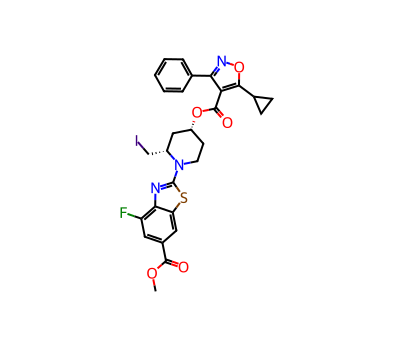 COC(=O)c1cc(F)c2nc(N3CC[C@@H](OC(=O)c4c(-c5ccccc5)noc4C4CC4)C[C@H]3CI)sc2c1